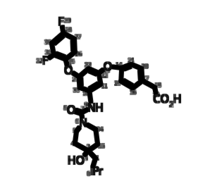 CC(C)CC1(O)CCN(C(=O)Nc2cc(Oc3ccc(CC(=O)O)cc3)cc(Oc3ccc(F)cc3F)c2)CC1